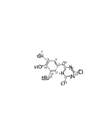 CC(C)(C)c1cc(Oc2nc(Cl)nc(Cl)n2)cc(C(C)(C)C)c1O